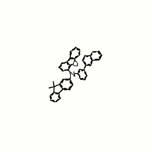 CC1(C)c2ccccc2-c2ccc(N(c3cccc(-c4ccc5ccccc5c4)c3)c3cccc4c3oc3ccccc34)cc21